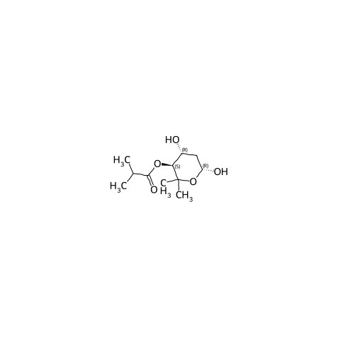 CC(C)C(=O)O[C@H]1[C@H](O)C[C@H](O)OC1(C)C